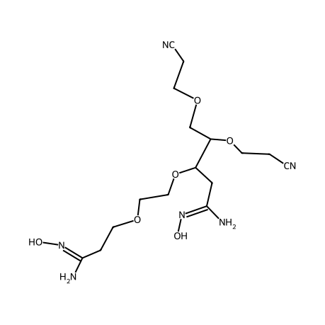 N#CCCOCC(OCCC#N)C(CC(N)=NO)OCCOCCC(N)=NO